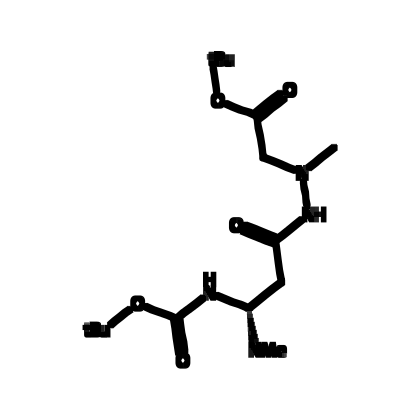 CN[C@@H](CC(=O)NN(C)CC(=O)OC(C)(C)C)NC(=O)OC(C)(C)C